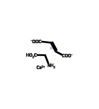 NCC(=O)O.O=C([O-])/C=C/C(=O)[O-].[Ca+2]